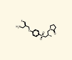 C[C@H](CN1CCCC1=O)CS(=O)(=O)c1ccc(OC/C(=C/F)CN)cc1